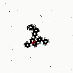 c1ccc(-c2ccc(N(c3ccc4c(ccc5oc6ccncc6c54)c3)c3ccc(-c4ccccc4)cc3-c3ccccc3)cc2)cc1